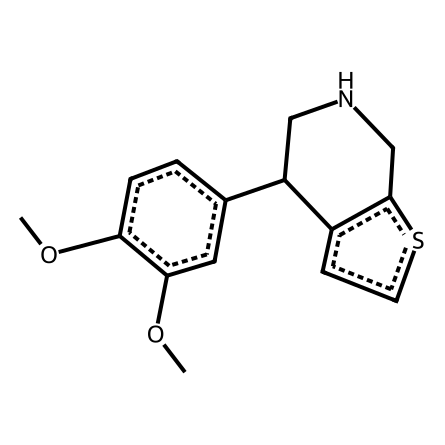 COc1ccc(C2CNCc3sccc32)cc1OC